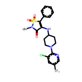 CC(C)(C)N1C(=O)C(NC2CCN(c3ncc(C(F)(F)F)cc3Cl)CC2)=C(c2ccccc2)S1(=O)=O